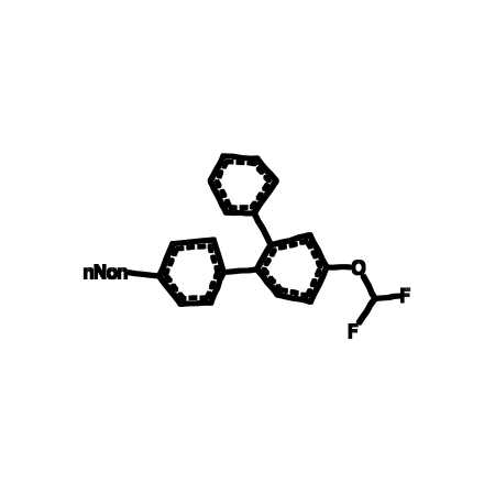 CCCCCCCCCc1ccc(-c2ccc(OC(F)F)cc2-c2ccccc2)cc1